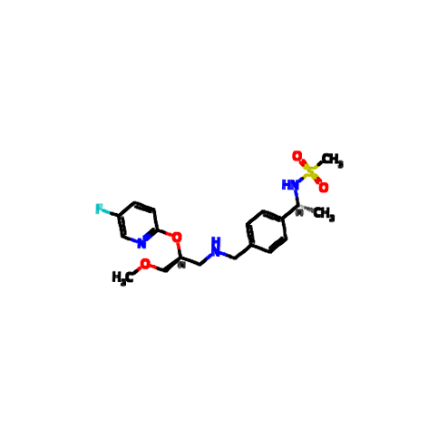 COC[C@H](CNCc1ccc([C@@H](C)NS(C)(=O)=O)cc1)Oc1ccc(F)cn1